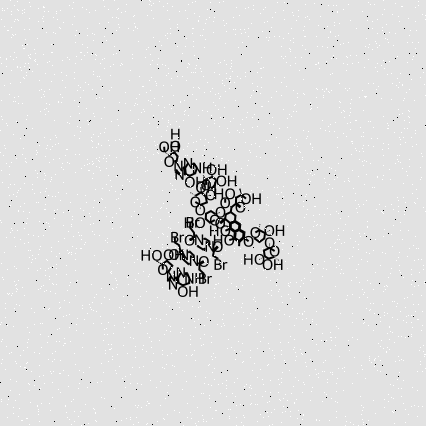 CO[C@H](C(=O)[C@@H](O)[C@@H](C)O)C1Cc2cc3cc(O[C@H]4C[C@@H](O[C@H]5C[C@@H](O)[C@H](O)[C@@H](C)O5)[C@@H](O)[C@@H](C)O4)c(C)c(O)c3c(O)c2C(=O)[C@H]1O[C@H]1C[C@@H](O[C@H]2C[C@@H](O[C@H]3C[C@](C)(O)[C@H](O)[C@@H](C)O3)[C@H](O)[C@@H](C)O2)[C@H](O)[C@@H](C)O1.O=C(CCBr)N1CCN(C(=O)CCBr)CC1.O=C(CCBr)N1CCN(C(=O)CCBr)CC1.OC[C@H]1O[C@@H](n2cnc3c2N=CNC[C@H]3O)C[C@@H]1O.OC[C@H]1O[C@@H](n2cnc3c2N=CNC[C@H]3O)C[C@@H]1O